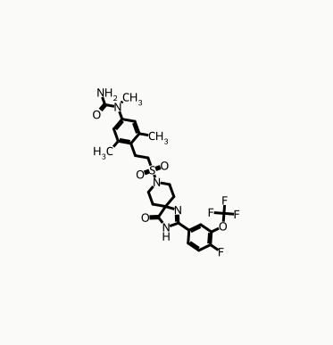 Cc1cc(N(C)C(N)=O)cc(C)c1CCS(=O)(=O)N1CCC2(CC1)N=C(c1ccc(F)c(OC(F)(F)F)c1)NC2=O